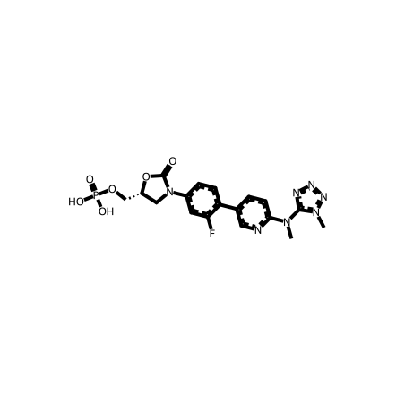 CN(c1ccc(-c2ccc(N3C[C@H](COP(=O)(O)O)OC3=O)cc2F)cn1)c1nnnn1C